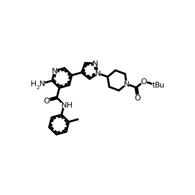 Cc1ccccc1NC(=O)c1cc(-c2cnn(C3CCN(C(=O)OC(C)(C)C)CC3)c2)cnc1N